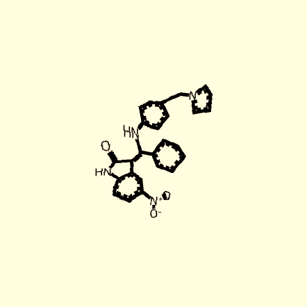 O=C1Nc2ccc([N+](=O)[O-])cc2/C1=C(/Nc1ccc(Cn2cccc2)cc1)c1ccccc1